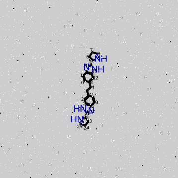 c1cc2nc([C@@H]3CCCN3)[nH]c2cc1CCc1ccc2nc([C@@H]3CCCN3)[nH]c2c1